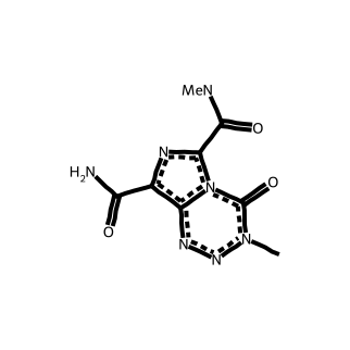 CNC(=O)c1nc(C(N)=O)c2nnn(C)c(=O)n12